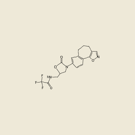 O=C1OC(CNC(=O)C(F)(F)F)CN1c1ccc2c(c1)CCCc1cnoc1-2